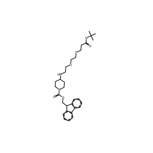 CC(C)(C)OC(=O)CCOCCOCCNC1CCN(C(=O)OCC2c3ccccc3-c3ccccc32)CC1